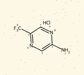 Cl.Nc1cnc(C(F)(F)F)cn1